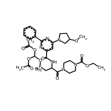 CCOC(=O)N1CCN(C(=O)C(C[PH](=O)OC(OC(C)=O)OC(C)=O)NC(=O)c2cc(N3CCC(OC)C3)nc(-c3ccccc3)n2)CC1